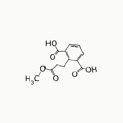 COC(=O)CCc1c(C(=O)O)cccc1C(=O)O